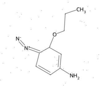 CCCOC1C=C(N)C=CC1=[N+]=[N-]